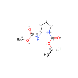 C[C@H](Cl)OC(=O)N1CCCC1NC(=O)OC(C)(C)C